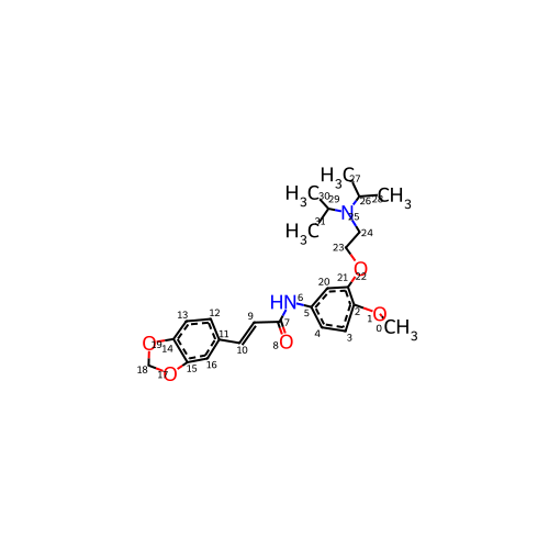 COc1ccc(NC(=O)/C=C/c2ccc3c(c2)OCO3)cc1OCCN(C(C)C)C(C)C